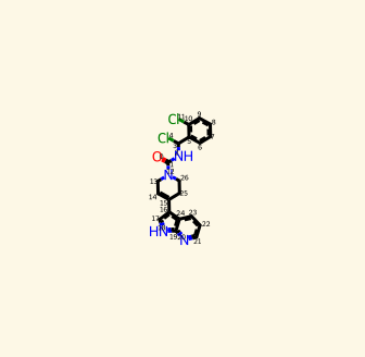 O=C(NC(Cl)c1ccccc1Cl)N1CC=C(c2c[nH]c3ncccc23)CC1